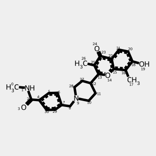 CNC(=O)c1ccc(CN2CCC(c3oc4c(C)c(O)ccc4c(=O)c3C)CC2)cc1